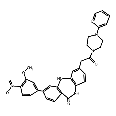 COc1cc(-c2ccc3c(c2)Nc2cc(CC(=O)N4CCN(c5ccccn5)CC4)ccc2NC3=O)ccc1[N+](=O)[O-]